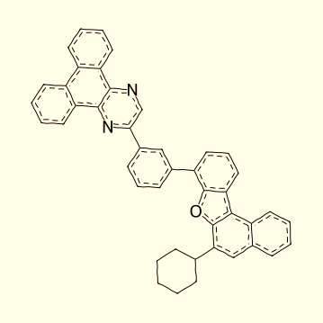 c1cc(-c2cnc3c4ccccc4c4ccccc4c3n2)cc(-c2cccc3c2oc2c(C4CCCCC4)cc4ccccc4c23)c1